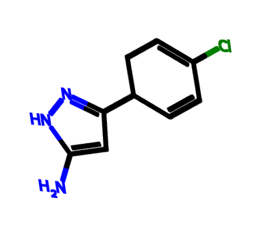 Nc1cc(C2C=CC(Cl)=CC2)n[nH]1